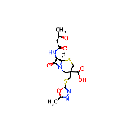 CC(=O)CC(=O)NC1C(=O)N2CC(CSc3nnc(C)o3)(C(=O)O)CS[C@H]12